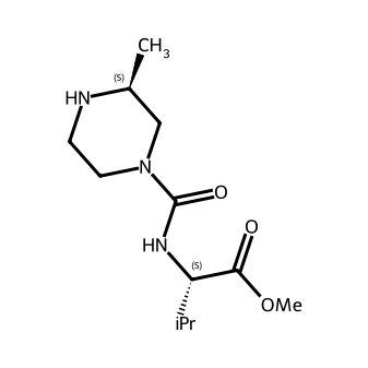 COC(=O)[C@@H](NC(=O)N1CCN[C@@H](C)C1)C(C)C